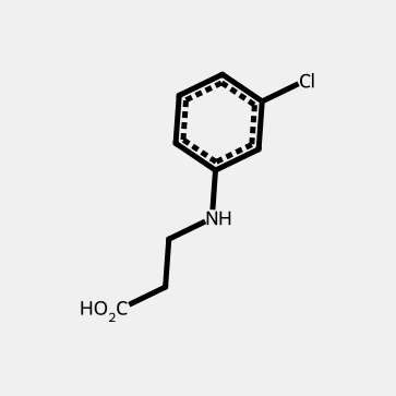 O=C(O)CCNc1cccc(Cl)c1